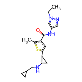 CCn1cc(NC(=O)c2cc(C3CC3NCC3CC3)sc2C)cn1